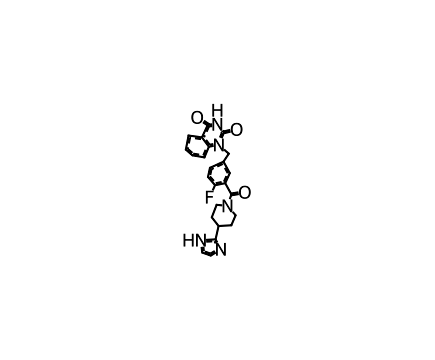 O=C(c1cc(Cn2c(=O)[nH]c(=O)c3ccccc32)ccc1F)N1CCC(c2ncc[nH]2)CC1